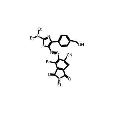 CCN1C(=O)c2cc(C#N)c(/N=N/c3sc(N(CC)CC)nc3-c3ccc(CO)cc3)c(Br)c2C1=O